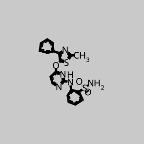 Cc1nc(-c2ccccc2)c(Oc2ccnc(Nc3ccccc3S(N)(=O)=O)n2)s1